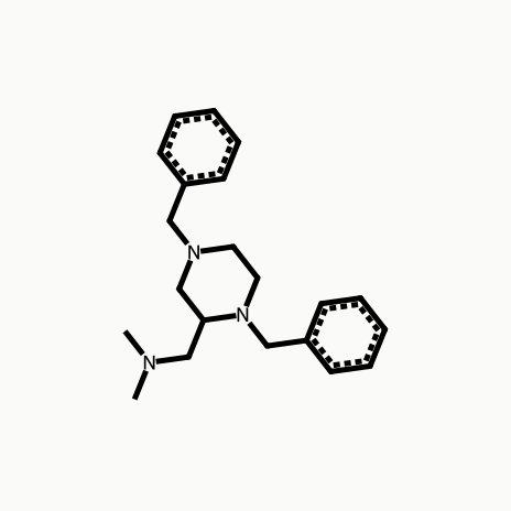 CN(C)CC1CN(Cc2ccccc2)CCN1Cc1ccccc1